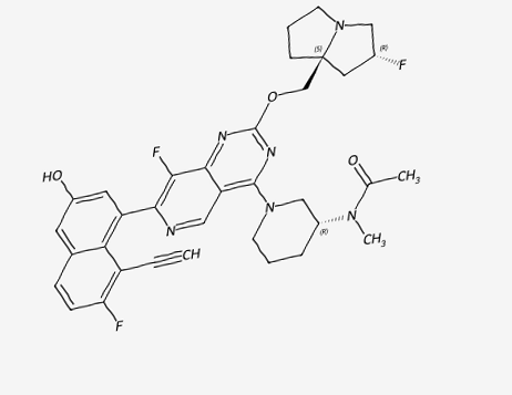 C#Cc1c(F)ccc2cc(O)cc(-c3ncc4c(N5CCC[C@@H](N(C)C(C)=O)C5)nc(OC[C@@]56CCCN5C[C@H](F)C6)nc4c3F)c12